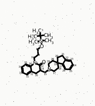 CC(C)(C)[Si](C)(C)OCCCN1C(=O)C(CN2CCC3(CCc4ccccc43)CC2)Cc2ccccc21